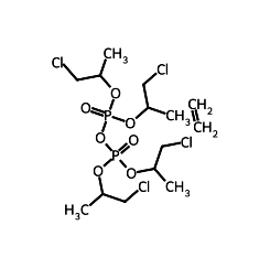 C=C.CC(CCl)OP(=O)(OC(C)CCl)OP(=O)(OC(C)CCl)OC(C)CCl